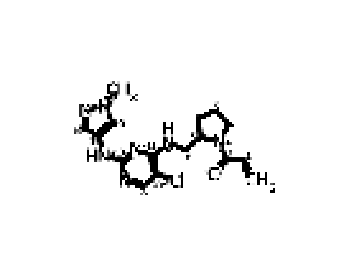 C=CC(=O)N1CCCC1CNc1nc(Nc2cnn(C)c2)ncc1Cl